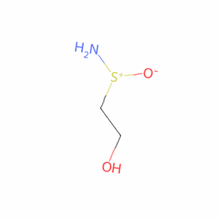 N[S+]([O-])CCO